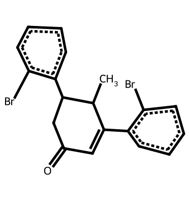 CC1C(c2ccccc2Br)=CC(=O)CC1c1ccccc1Br